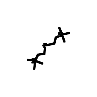 C[Si](C)(C)CC[P]CC[Si](C)(C)C